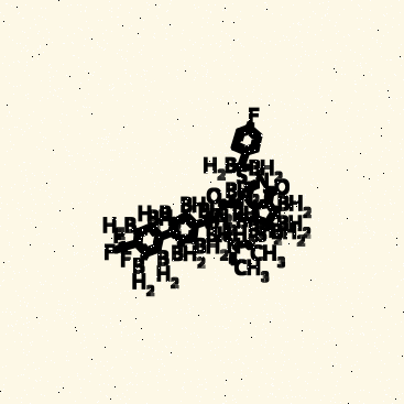 Bc1c(B)c(C(F)(F)F)c(B)c(B)c1-c1c(B)c(B)c(C(B)(B)N(CCN(CC)CC)C(=O)C(B)(B)n2c(SC(B)(B)c3ccc(F)cc3)nc(=O)c3c2C(B)(B)C(B)(B)C3(B)B)c(B)c1B